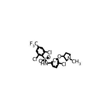 CN1CCC(Oc2cc(NS(=O)(=O)c3c(Cl)cc(C(F)(F)F)cc3Cl)ccc2Cl)C1